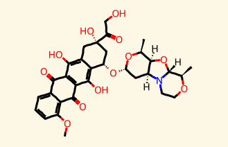 COc1cccc2c1C(=O)c1c(O)c3c(c(O)c1C2=O)C[C@@](O)(C(=O)CO)C[C@@H]3O[C@H]1C[C@H]2[C@H](O[C@@H]3[C@@H](C)OCCN32)[C@H](C)O1